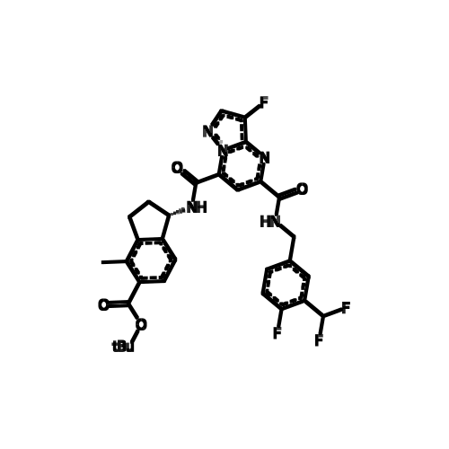 Cc1c(C(=O)OC(C)(C)C)ccc2c1CC[C@@H]2NC(=O)c1cc(C(=O)NCc2ccc(F)c(C(F)F)c2)nc2c(F)cnn12